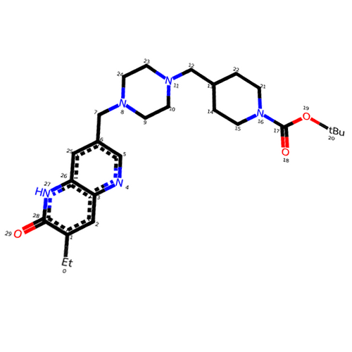 CCc1cc2ncc(CN3CCN(CC4CCN(C(=O)OC(C)(C)C)CC4)CC3)cc2[nH]c1=O